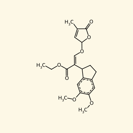 CCOC(=O)/C(=C/OC1C=C(C)C(=O)O1)C1CCc2cc(OC)c(OC)cc21